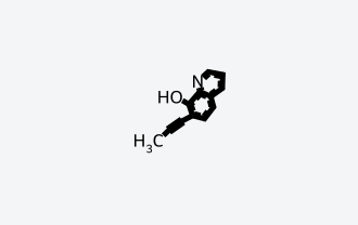 CC#Cc1ccc2cccnc2c1O